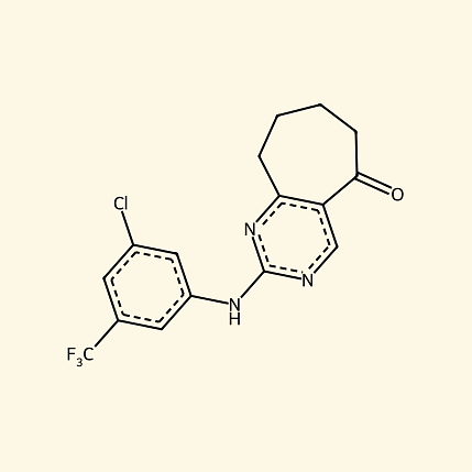 O=C1CCCCc2nc(Nc3cc(Cl)cc(C(F)(F)F)c3)ncc21